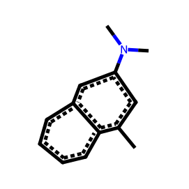 Cc1cc(N(C)C)cc2ccccc12